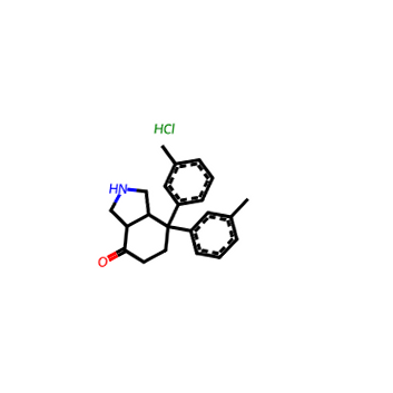 Cc1cccc(C2(c3cccc(C)c3)CCC(=O)C3CNCC32)c1.Cl